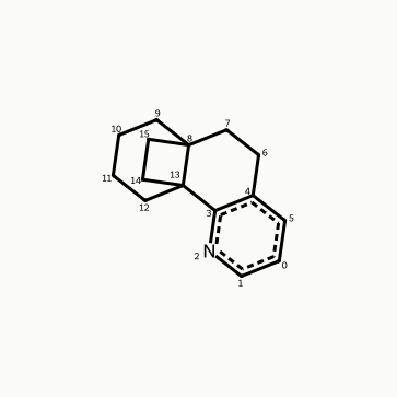 c1cnc2c(c1)CCC13CCCCC21CC3